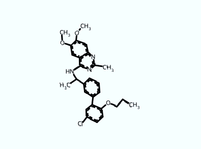 CCCOc1ccc(Cl)cc1-c1cccc(C(C)Nc2nc(C)nc3cc(OC)c(OC)cc23)c1